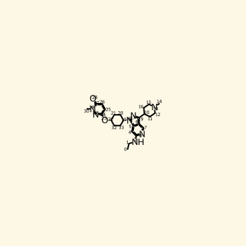 CCNc1cc2c(cn1)c(C1CCN(C)CC1)nn2[C@H]1CC[C@@H](Oc2ccc(=O)n(C)n2)CC1